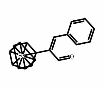 O=CC(=Cc1ccccc1)[C]12[CH]3[CH]4[CH]5[CH]1[Fe]45321678[CH]2[CH]1[CH]6[CH]7[CH]28